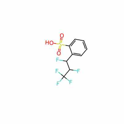 O=S(=O)(O)c1ccccc1C(F)C(F)C(F)(F)F